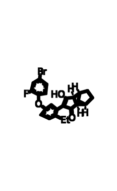 CCc1ccc(Oc2ccc(Br)cc2F)cc1C1=C(O)[C@H]2[C@H]3CC[C@H](C3)[C@H]2C1=O